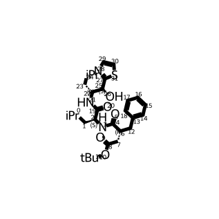 CC(C)C[C@H](NC(=O)[C@@H](CC(=O)OC(C)(C)C)Cc1ccccc1)C(=O)N[C@H](CC(C)C)[C@H](O)c1nccs1